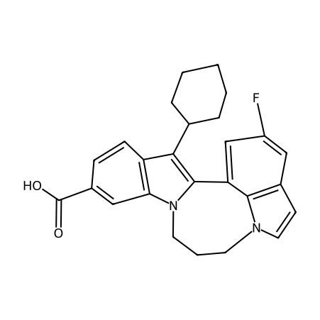 O=C(O)c1ccc2c(C3CCCCC3)c3n(c2c1)CCCn1ccc2cc(F)cc-3c21